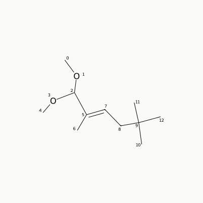 COC(OC)C(C)=CCC(C)(C)C